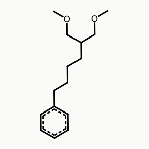 COCC(CCCCc1ccccc1)COC